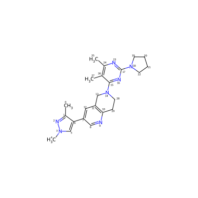 Cc1nn(C)cc1-c1cnc2c(c1)CN(c1nc(N3CCCC3)nc(C)c1C)CC2